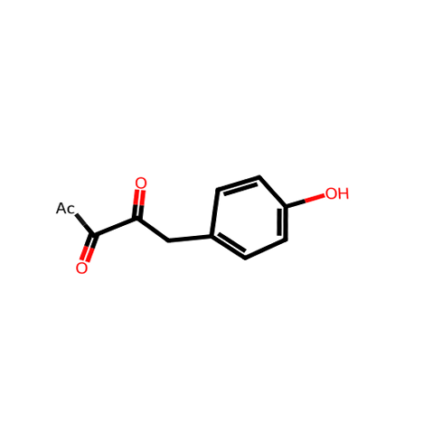 CC(=O)C(=O)C(=O)Cc1ccc(O)cc1